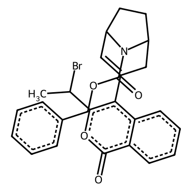 CC(Br)c1oc(=O)c2ccccc2c1C1=CC2CCC(C1)N2C(=O)OCc1ccccc1